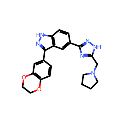 c1cc2[nH]nc(-c3ccc4c(c3)OCCO4)c2cc1-c1n[nH]c(CN2CCCC2)n1